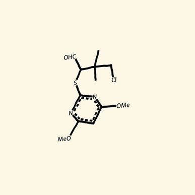 COc1cc(OC)nc(SC(C=O)C(C)(C)CCl)n1